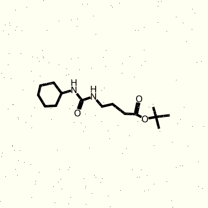 CC(C)(C)OC(=O)CCCNC(=O)NC1CCCCC1